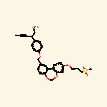 CC#C[C@@H](CC(=O)O)c1ccc(OCc2ccc3c(c2)-c2ccc(OCCCS(C)(=O)=O)cc2OCO3)cc1